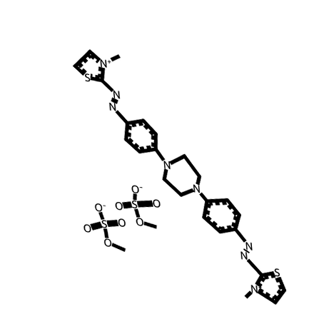 COS(=O)(=O)[O-].COS(=O)(=O)[O-].C[n+]1ccsc1N=Nc1ccc(N2CCN(c3ccc(N=Nc4scc[n+]4C)cc3)CC2)cc1